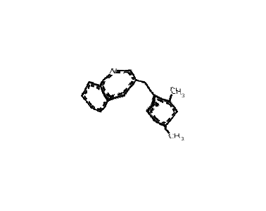 Cc1ccc(Cc2cnc3ccccc3c2)c(C)c1